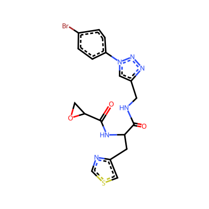 O=C(NCc1cn(-c2ccc(Br)cc2)nn1)C(Cc1cscn1)NC(=O)C1CO1